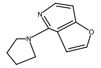 c1cc2occc2c(N2CCCC2)n1